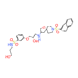 O=S(=O)(NCCCO)c1cccc(OC[C@@H](O)CNC2COC3(CCN(S(=O)(=O)c4ccc5ccccc5c4)CC3)C2)c1